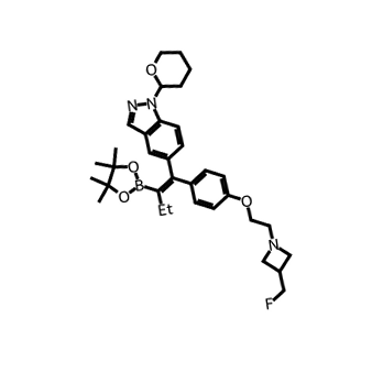 CCC(B1OC(C)(C)C(C)(C)O1)=C(c1ccc(OCCN2CC(CF)C2)cc1)c1ccc2c(cnn2C2CCCCO2)c1